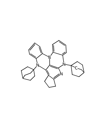 c1ccc2c(c1)B1c3ccccc3N(C34CCC(CC3)CC4)c3c4c(nc(c31)N2C12CCC(CC1)CC2)CCC4